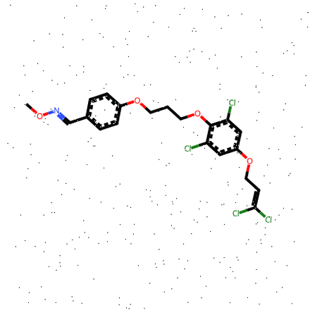 CON=Cc1ccc(OCCCOc2c(Cl)cc(OCC=C(Cl)Cl)cc2Cl)cc1